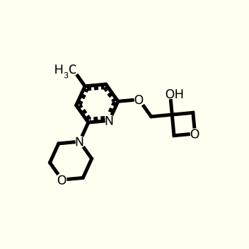 Cc1cc(OCC2(O)COC2)nc(N2CCOCC2)c1